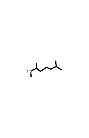 [CH2]NC(C)CCCC(C)C